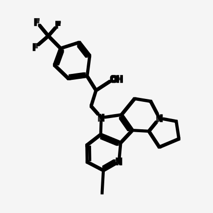 Cc1ccc2c(n1)c1c(n2CC(O)c2ccc(C(F)(F)F)cc2)CCN2CCCC12